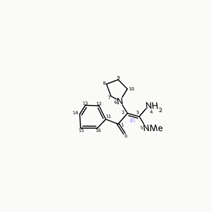 C=C(/C(=C(/N)NC)N1CCCC1)c1ccccc1